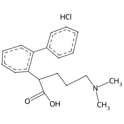 CN(C)CCCC(C(=O)O)c1ccccc1-c1ccccc1.Cl